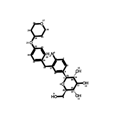 Nc1ccc([C@@H]2O[C@H](CO)[C@@H](O)C(O)[C@H]2O)cc1Cc1ccc(OC2CCOCC2)cc1